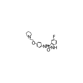 O=C1Nc2ccc(F)cc2C1=CNc1ccc(OCCN2CCCCC2)cc1